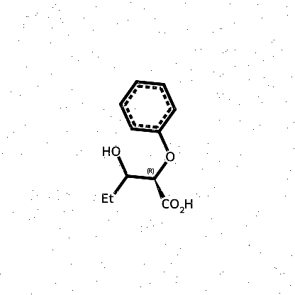 CCC(O)[C@@H](Oc1ccccc1)C(=O)O